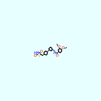 CCOc1ccc(C(=O)N(C)Cc2cccc(-c3ccc(/C=C4/SC(=O)NC4=O)cc3)c2)cc1OCC